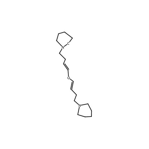 C(=COC=CCCN1CCCCC1)CCN1CCCCC1